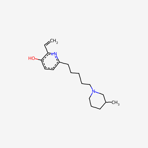 C=Cc1nc(CCCCCN2CCCC(C)C2)ccc1O